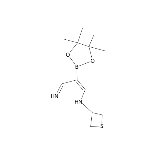 CC1(C)OB(/C(C=N)=C/NC2CSC2)OC1(C)C